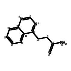 NC(=O)CCc1ncnc2ccccc12